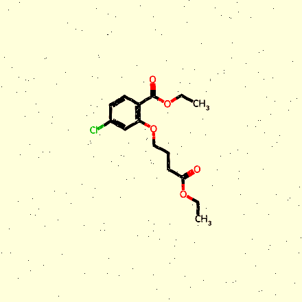 CCOC(=O)CCCOc1cc(Cl)ccc1C(=O)OCC